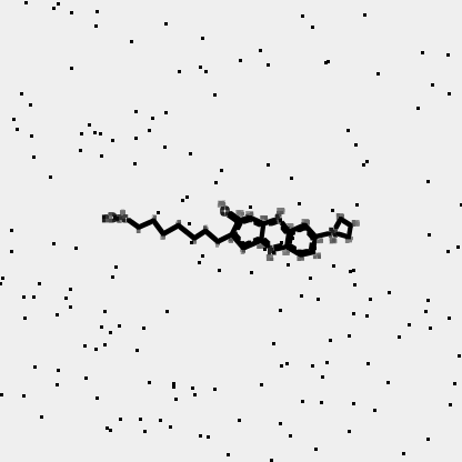 CCCCCCCCCCCCCCCCCc1cc2nc3ccc(N4CCC4)cc3sc-2cc1=O